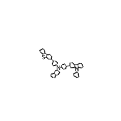 c1ccc(-n2c3ccccc3c3ccc(-c4ccc(N(c5ccc(-c6ccc7c(c6)sc6ccccc67)cc5)c5ccc6ccccc6c5)cc4)cc32)cc1